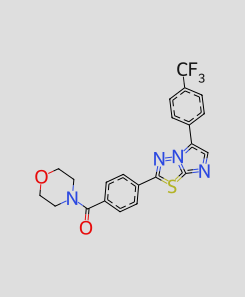 O=C(c1ccc(-c2nn3c(-c4ccc(C(F)(F)F)cc4)cnc3s2)cc1)N1CCOCC1